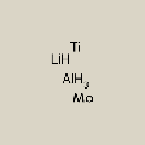 [AlH3].[LiH].[Mo].[Ti]